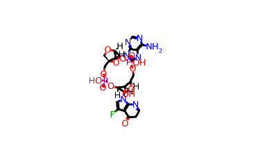 Nc1ncnc2c1ncn2[C@@H]1O[C@@]23CO[C@@H]1[C@@H]2OP(=O)(O)OC[C@H]1O[C@@H](n2cc(F)c4c2N=CCC4=O)[C@H](OP(=O)(O)OC3)[C@@H]1O